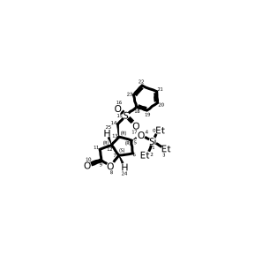 CC[Si](CC)(CC)O[C@@H]1C[C@@H]2OC(=O)C[C@@H]2[C@H]1CS(=O)(=O)c1ccccc1